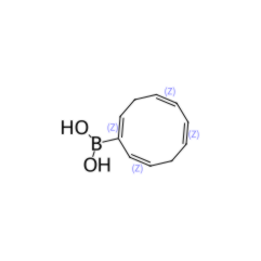 OB(O)C1=C/C/C=C\C=C/C/C=C\1